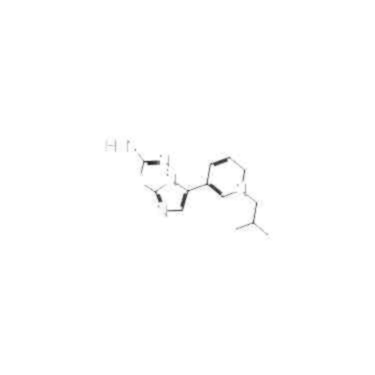 CC(C)CN1C=C(c2cnc3sc(N)nn23)C=CC1